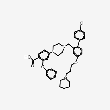 O=C(O)c1ccc(N2CCN(Cc3cc(OCCCN4CCCCC4)ccc3-c3ccc(Cl)cc3)CC2)cc1Oc1ccccc1